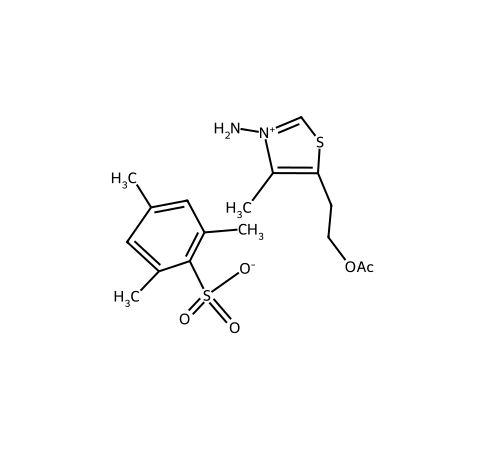 CC(=O)OCCc1sc[n+](N)c1C.Cc1cc(C)c(S(=O)(=O)[O-])c(C)c1